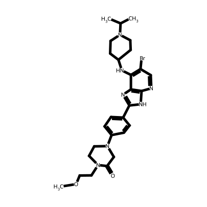 COCCN1CCN(c2ccc(-c3nc4c(NC5CCN(C(C)C)CC5)c(Br)cnc4[nH]3)cc2)CC1=O